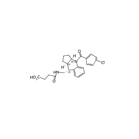 O=C(O)CCC(=O)NC[C@H]1c2ccccc2N(C(=O)c2ccc(Cl)cc2)[C@@H]2CCC[C@@H]21